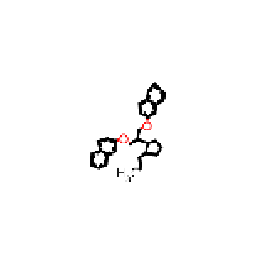 CCCC1CCCC1C(COc1ccc2ccccc2c1)COc1ccc2ccccc2c1